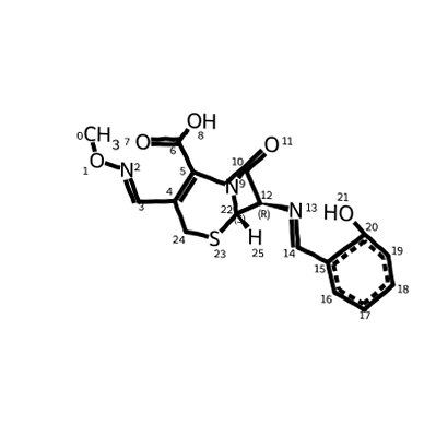 CON=CC1=C(C(=O)O)N2C(=O)[C@@H](N=Cc3ccccc3O)[C@@H]2SC1